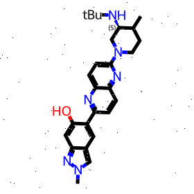 CC1CCN(c2ccc3nc(-c4cc5cn(C)nc5cc4O)ccc3n2)C[C@H]1NC(C)(C)C